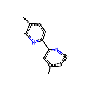 Cc1ccc(-c2cc(C)ccn2)nc1